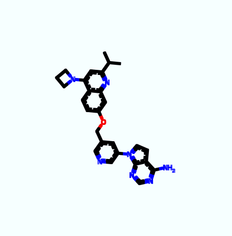 CC(C)c1cc(N2CCC2)c2ccc(OCc3cncc(-n4ccc5c(N)ncnc54)c3)cc2n1